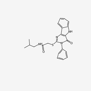 CC(C)CNC(=O)CSc1nc2c([nH]c3ccccc32)c(=O)n1-c1ccccc1